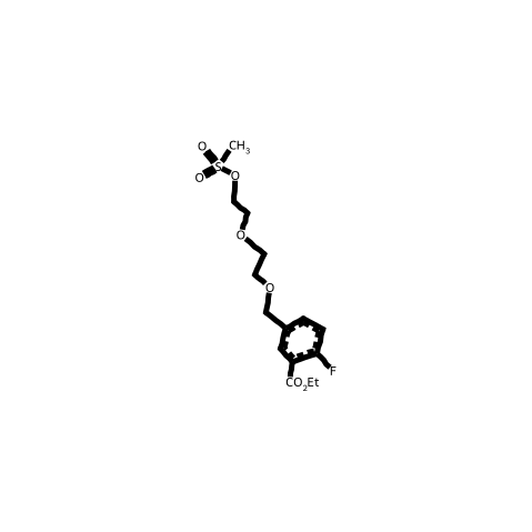 CCOC(=O)c1cc(COCCOCCOS(C)(=O)=O)ccc1F